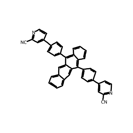 N#Cc1cc(-c2ccc(-c3c4ccccc4c(-c4ccc(-c5ccnc(C#N)c5)cc4)c4cc5ccccc5cc34)cc2)ccn1